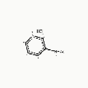 CC(=O)Nc1cccnc1.Cl